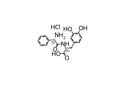 Cl.N[C@H](C(=O)N[C@@H](Cc1ccc(O)c(O)c1)C(=O)O)c1ccccc1